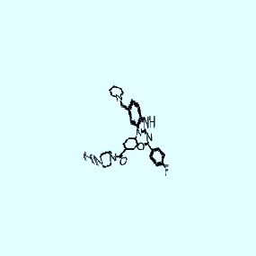 O=C(/N=c1/[nH]c2ccc(CN3CCCCC3)cc2n1C1CCC(C(=O)N2CCNCC2)CC1)c1ccc(F)cc1